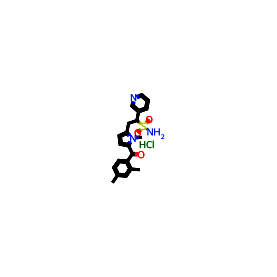 Cc1ccc(C(=O)c2ccc(CC(c3cccnc3)S(N)(=O)=O)n2C)c(C)c1.Cl